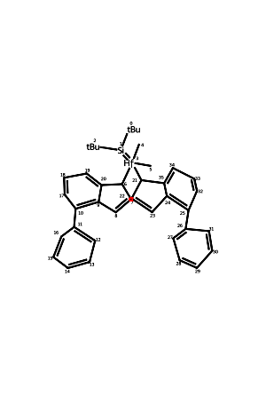 CC(C)(C)[Si](C(C)(C)C)=[Hf]([CH3])([CH3])([CH]1C=Cc2c(-c3ccccc3)cccc21)[CH]1C=Cc2c(-c3ccccc3)cccc21